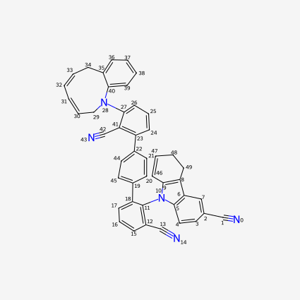 N#Cc1ccc2c(c1)c1c(n2-c2c(C#N)cccc2-c2ccc(-c3cccc(N4C/C=C\C=C/Cc5ccccc54)c3C#N)cc2)C=CCC1